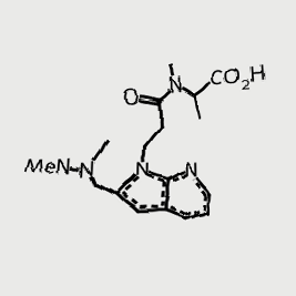 CNN(C)Cc1cc2cccnc2n1CCC(=O)N(C)C(C)C(=O)O